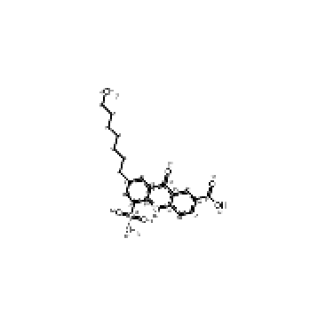 CCCCCCCCc1cc(S(C)(=O)=O)c2oc3ccc(C(=O)O)cc3c(=O)c2c1